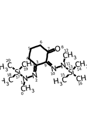 CN(N=C1CCCC(=O)C1=NN(C)[Si](C)(C)C)[Si](C)(C)C